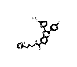 COc1cccc(-c2nc3cc(C(=O)NCCCc4ncc[nH]4)ccc3nc2-c2ccc(F)cc2)n1